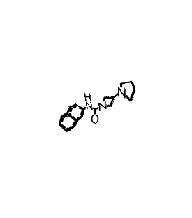 O=C(Nc1ccc2ccccc2c1)N1CC(N2CCCC2)C1